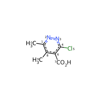 Cc1nnc(Cl)c(C(=O)O)c1C